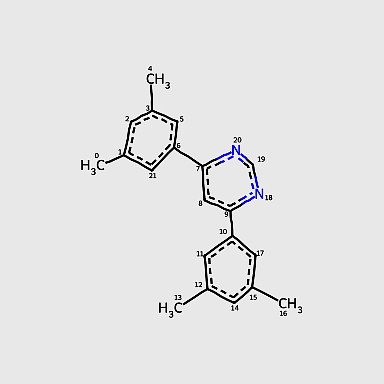 Cc1cc(C)cc(-c2cc(-c3cc(C)cc(C)c3)ncn2)c1